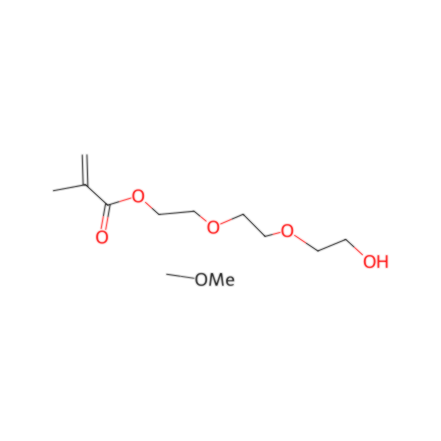 C=C(C)C(=O)OCCOCCOCCO.COC